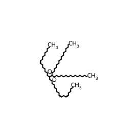 CCCCC/C=C\C/C=C\CCCCCCCC[C](CCCCCC/C=C\CCCCCCCC)C(C(=O)CCCCCCCCCCCCCCC)C(=O)CCCCCCCCCCCCCCC